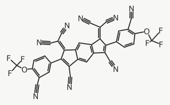 N#CC(C#N)=C1C(c2ccc(OC(F)(F)F)c(C#N)c2)=C(C#N)c2cc3c(cc21)C(=C(C#N)C#N)C(c1ccc(OC(F)(F)F)c(C#N)c1)=C3C#N